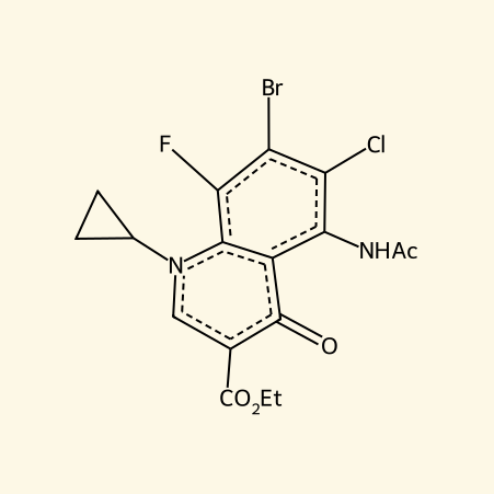 CCOC(=O)c1cn(C2CC2)c2c(F)c(Br)c(Cl)c(NC(C)=O)c2c1=O